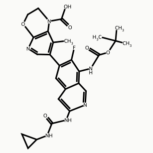 Cc1c(-c2cc3cc(NC(=O)NC4CC4)ncc3c(NC(=O)OC(C)(C)C)c2F)cnc2c1N(C(=O)O)CCO2